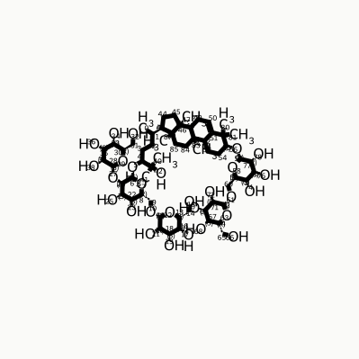 CC(CCC(O[C@@H]1O[C@H](CO[C@@H]2O[C@H](CO)[C@@H](O)[C@H](O)[C@H]2O)[C@@H](O)[C@H](O)[C@H]1O[C@@H]1O[C@H](CO)[C@@H](O)[C@H](O)[C@H]1O)C(C)(C)O)[C@H]1CC[C@@]2(C)C3CC=C4C(CC[C@H](O[C@@H]5O[C@H](CO[C@@H]6O[C@H](CO)[C@@H](O)[C@H](O)[C@H]6O)[C@@H](O)[C@H](O)[C@H]5O)C4(C)C)[C@]3(C)CC[C@]12C